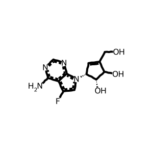 Nc1ncnc2c1c(F)cn2[C@@H]1C=C(CO)C(O)[C@@H]1O